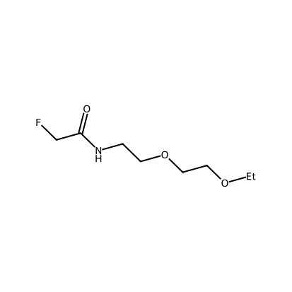 CCOCCOCCNC(=O)CF